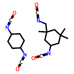 CC1(C)CC(N=C=O)CC(C)(CN=C=O)C1.O=C=NC1CCC(N=C=O)CC1